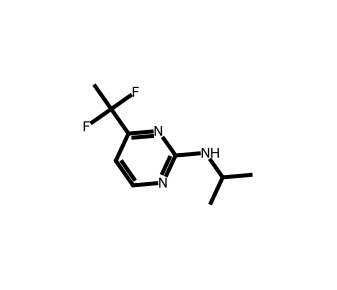 CC(C)Nc1nccc(C(C)(F)F)n1